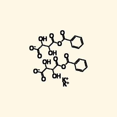 O=C(OC(=O)C(O)C(O)C(=O)[O-])c1ccccc1.O=C(OC(=O)C(O)C(O)C(=O)[O-])c1ccccc1.[K+].[K+]